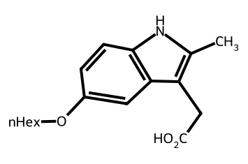 CCCCCCOc1ccc2[nH]c(C)c(CC(=O)O)c2c1